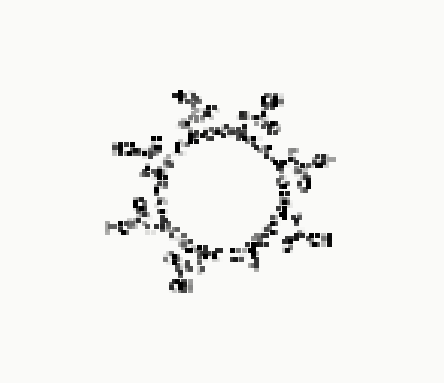 O=C(O)CN1CCN(I)CCN(CC(=O)O)CCN(CC(=O)O)CCN(CC(=O)O)CCN(CC(=O)O)CCN(CC(=O)O)CCN(CC(=O)O)CC1